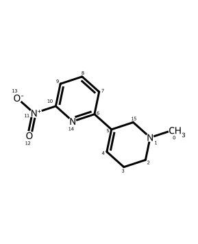 CN1CCC=C(c2cccc([N+](=O)[O-])n2)C1